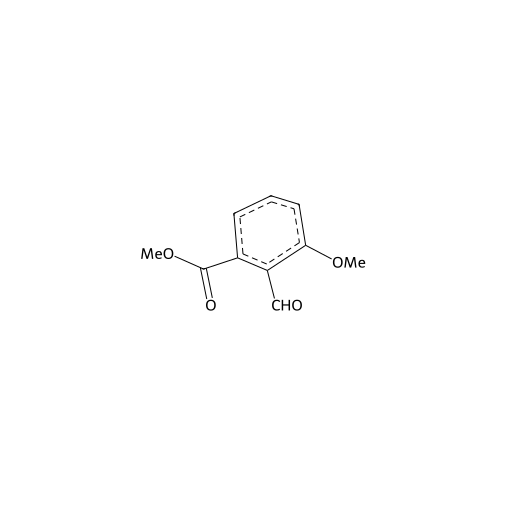 COC(=O)c1cccc(OC)c1C=O